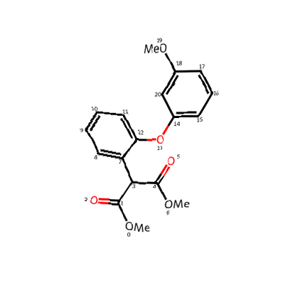 COC(=O)C(C(=O)OC)c1ccccc1Oc1cccc(OC)c1